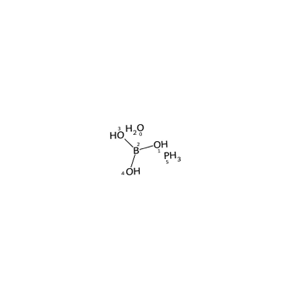 O.OB(O)O.P